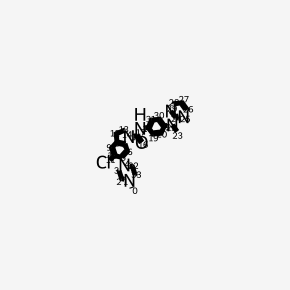 CN1CCN(c2cc3c(cc2Cl)CCN3C(=O)Nc2ccc(N(C)c3ncccn3)cc2)CC1